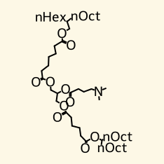 CCCCCCCCC(CCCCCC)COC(=O)CCCCCC(=O)OCC(COC(=O)CCCCC(=O)OC(CCCCCCCC)CCCCCCCC)OC(=O)CCCN(C)C